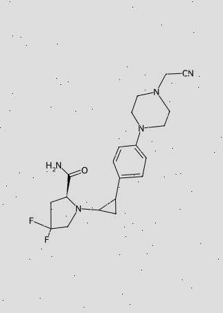 N#CCN1CCN(c2ccc(C3CC3N3CC(F)(F)C[C@H]3C(N)=O)cc2)CC1